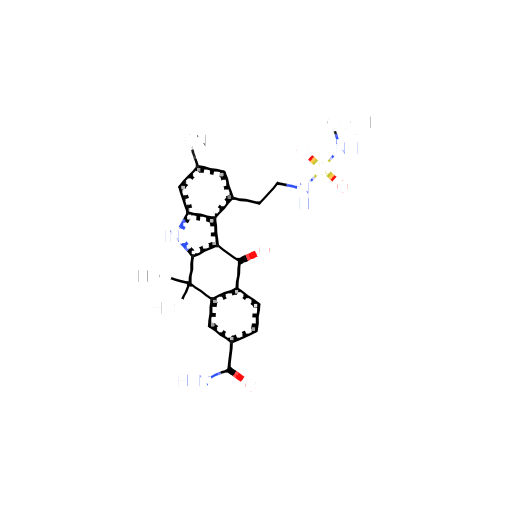 CC1(C)c2cc(C(N)=O)ccc2C(=O)c2c1[nH]c1cc(C#N)cc(CCNS(=O)(=O)NC(=O)O)c21